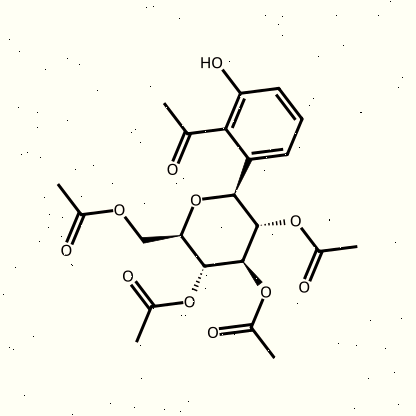 CC(=O)OC[C@H]1O[C@@H](c2cccc(O)c2C(C)=O)[C@H](OC(C)=O)[C@@H](OC(C)=O)[C@@H]1OC(C)=O